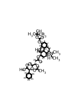 CCN(C)[C@@H]1Cc2ccc(OC(=O)OC(C)(C)C)c3c2[C@@]2(C)[C@@H](O3)C(OC(=O)C[C@H](OC(C)=O)C(=O)O[C@H](C(=O)O)c3ccccc3)=CC[C@@]12O